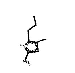 CCCc1[nH]c(N)cc1C